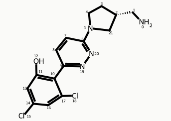 NC[C@H]1CCN(c2ccc(-c3c(O)cc(Cl)cc3Cl)nn2)C1